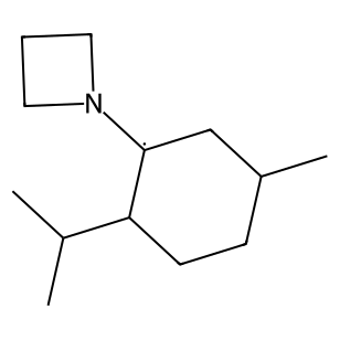 CC1CCC(C(C)C)[C](N2CCC2)C1